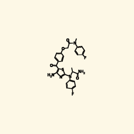 CC(C(N)=O)N(c1ccc(F)cc1)c1nc(N)c(C(=O)c2ccc(OCC(=O)N(C)c3ccc(F)cc3)cc2)s1